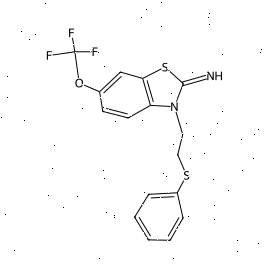 N=c1sc2cc(OC(F)(F)F)ccc2n1CCSc1ccccc1